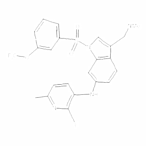 CNCc1cn(S(=O)(=O)c2cccc(OC(F)(F)F)c2)c2cc(Nc3ccc(C)nc3F)ccc12